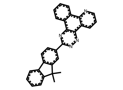 CC1(C)c2ccccc2-c2ccc(-c3nnc4c5cccnc5c5ccccc5c4n3)cc21